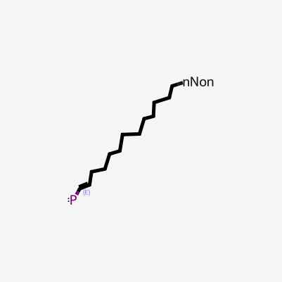 CCCCCCCCCCCCCCCCCCCC/C=C/[P]